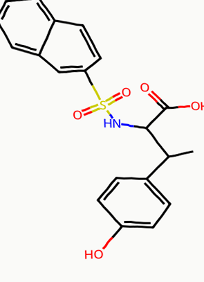 CC(c1ccc(O)cc1)C(NS(=O)(=O)c1ccc2ccccc2c1)C(=O)O